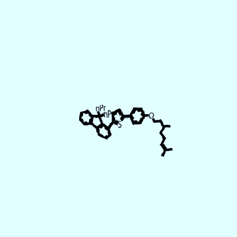 CCCC1(CCC)c2ccccc2-c2cccc(-c3ccc(-c4ccc(OCCC(C)CCC=C(C)C)cc4)s3)c21